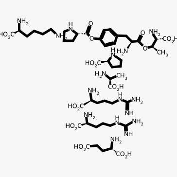 C[C@@H](OC(=O)[C@@H](N)Cc1ccc(OC(=O)[C@@H]2CCCN2)cc1)[C@H](N)C(=O)O.C[C@H](N)C(=O)O.N=C(N)NCCC[C@H](N)C(=O)O.N=C(N)NCCC[C@H](N)C(=O)O.NCCCC[C@H](N)C(=O)O.N[C@@H](CCC(=O)O)C(=O)O.O=C(O)[C@@H]1CCCN1